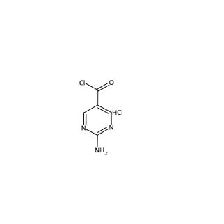 Cl.Nc1ncc(C(=O)Cl)cn1